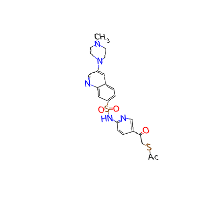 CC(=O)SCC(=O)c1ccc(NS(=O)(=O)c2ccc3cc(N4CCN(C)CC4)cnc3c2)nc1